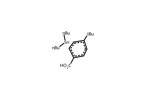 CC(C)(C)c1ccc(C(=O)O)cc1.CCC[CH2][Sn][CH2]CCC